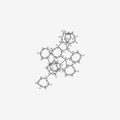 c1ccc(-c2cc(-c3ccccc3)nc(-c3ccccc3C3(c4ccccc4)c4ccccc4C4(c5ccccc5)c5ccccc5-c5cccc3c54)n2)cc1